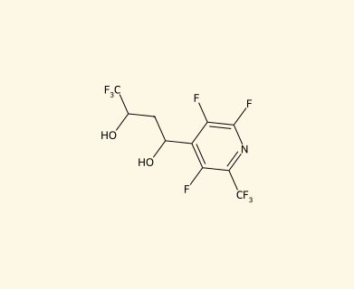 OC(CC(O)C(F)(F)F)c1c(F)c(F)nc(C(F)(F)F)c1F